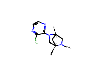 CN1C[C@@H]2C[C@H]1CN2c1nccnc1Cl